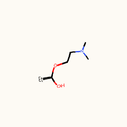 CCC(O)OCCN(C)C